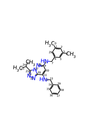 Cc1cc(C)cc(CNc2cc(NCc3ccccc3)c3nnc(C(C)C)n3n2)c1